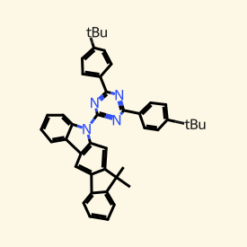 CC(C)(C)c1ccc(-c2nc(-c3ccc(C(C)(C)C)cc3)nc(-n3c4ccccc4c4cc5c(cc43)C(C)(C)c3ccccc3-5)n2)cc1